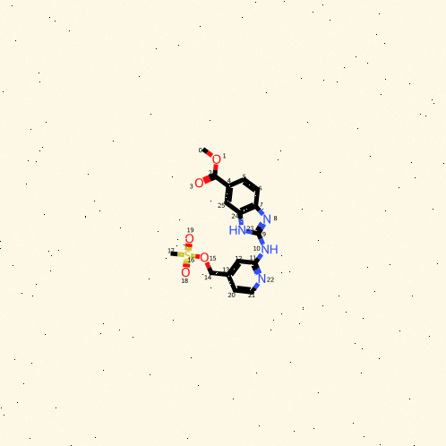 COC(=O)c1ccc2nc(Nc3cc(COS(C)(=O)=O)ccn3)[nH]c2c1